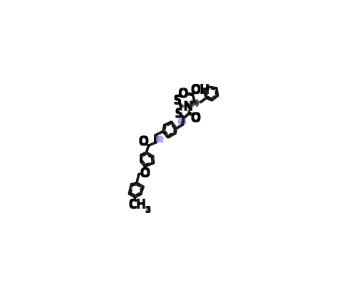 Cc1ccc(COc2ccc(C(=O)/C=C/c3ccc(/C=C4\SC(=S)N([C@@H](Cc5ccccc5)C(=O)O)C4=O)cc3)cc2)cc1